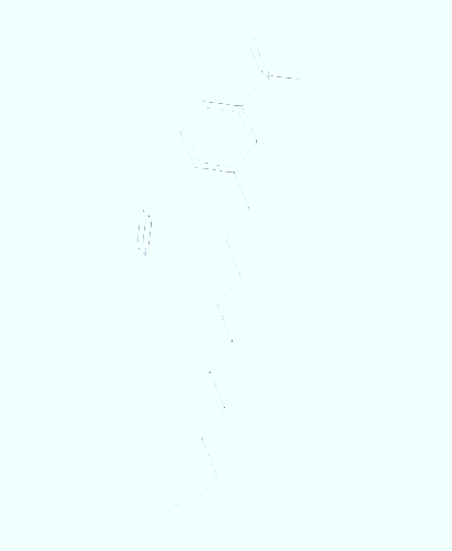 CCCCCCCCCCc1cccc([N+](=O)[O-])c1.N#N